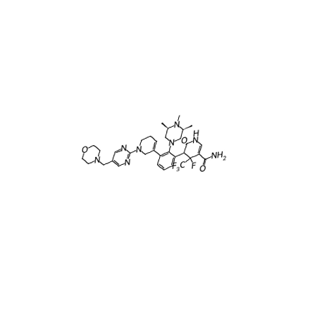 C[C@@H]1CN(c2c(C3=CCCN(c4ncc(CN5CCOCC5)cn4)C3)cccc2C2C(=O)NC=C(C(N)=O)C2(F)C(F)(F)F)C[C@H](C)N1C